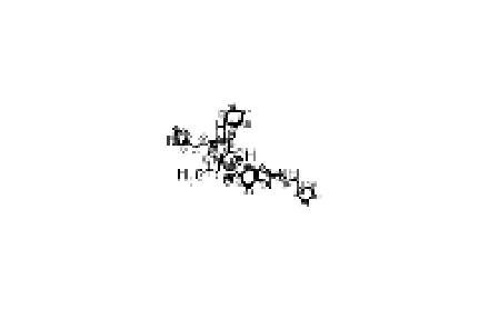 CC(C)CN(CC(O)C(Cc1ccccc1)NC(=O)OCc1cncs1)S(=O)(=O)c1ccc2nc(NCCN3CCCC3)sc2c1